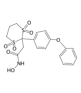 O=C(CC1(c2ccc(Oc3ccccc3)cc2)S(=O)(=O)CCCS1(=O)=O)NO